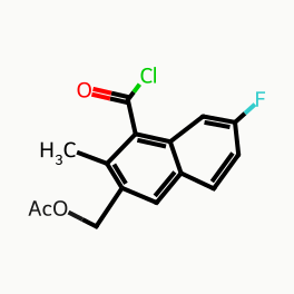 CC(=O)OCc1cc2ccc(F)cc2c(C(=O)Cl)c1C